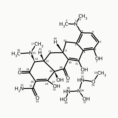 CN(C)c1ccc(O)c2c1C[C@H]1C[C@H]3[C@H](N(C)C)C(=O)C(C(N)=O)=C(O)[C@@]3(O)C(=O)C1=C2O.CONN(O)NO